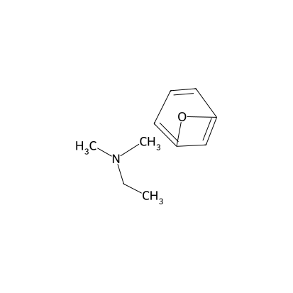 CCN(C)C.c1cc2cc(c1)O2